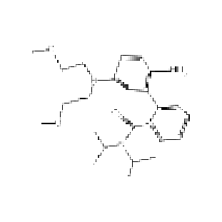 COCCN(CCOC)c1ccc(N)c(-c2ccccc2C(=O)N(C(C)C)C(C)C)c1